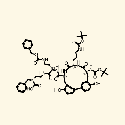 CC(C)(C)OC(=O)NCCC[C@@H]1NC(=O)[C@@H](NC(=O)OC(C)(C)C)Cc2cc(ccc2O)-c2ccc(O)c(c2)C[C@@H](C(=O)N[C@@H](CCNC(=O)OCc2ccccc2)C(=O)NCCN(Cc2ccccc2)C(=O)O)NC1=O